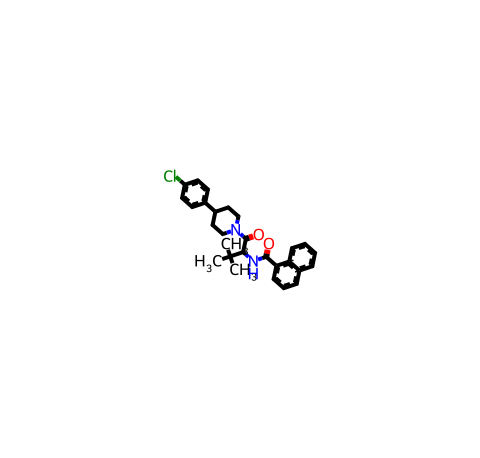 CC(C)(C)C(NC(=O)c1cccc2ccccc12)C(=O)N1CCC(c2ccc(Cl)cc2)CC1